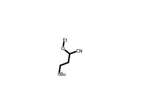 CCCCCCC(C#N)OCC